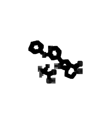 O=C(O)C(F)(F)F.O=C1NCCc2[nH]c(-c3ccnc(Sc4ccccc4)c3)cc21